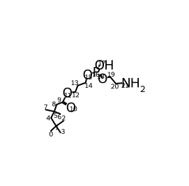 CC(C)(C)CC(C)(C)CC(=O)OCCCOP(O)OCCN